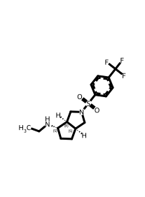 CCN[C@H]1CC[C@@H]2CN(S(=O)(=O)c3ccc(C(F)(F)F)cc3)C[C@@H]21